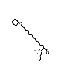 CCCC[SiH2]C([C]=O)CCCCCCCCCCCCOC1CC[CH]CC1